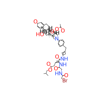 CC(=O)OCC(=O)[C@@]12CN(c3ccc(CC45CC(NC(=O)[C@H](CCC(=O)OCC(C)C)NC(=O)CNC(=O)CBr)(C4)C5)cc3)C[C@@H]1C[C@H]1[C@@H]3CCC4=CC(=O)C=C[C@]4(C)[C@H]3[C@@H](O)C[C@@]12C